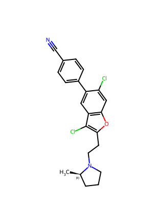 C[C@@H]1CCCN1CCc1oc2cc(Cl)c(-c3ccc(C#N)cc3)cc2c1Cl